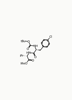 COC(=O)[C@@H](NC(=O)[C@H](Cc1ccc(Cl)cc1)NC(=O)OC(C)(C)C)C(C)C